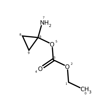 CCOC(=O)OC1(N)CC1